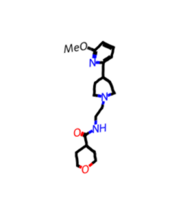 COc1cccc(C2CCN(CCNC(=O)C3CCOCC3)CC2)n1